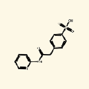 O=C(Cc1ccc(S(=O)(=O)O)cc1)Nc1ccccn1